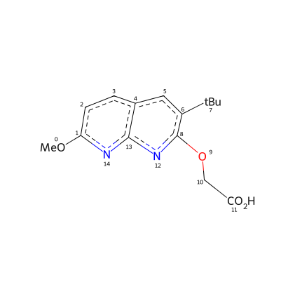 COc1ccc2cc(C(C)(C)C)c(OCC(=O)O)nc2n1